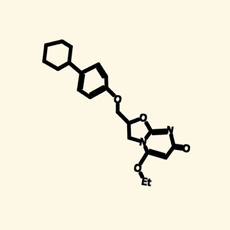 CCOc1cc(=O)nc2n1CC(COc1ccc(C3CCCCC3)cc1)O2